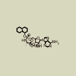 C[C@H](NP(=O)(OC[C@H]1O[C@@H](n2cnc3c(N)ncnc32)[C@@](C)(O)C1O)Oc1cccc2ccccc12)C(=O)OC(C)(C)C